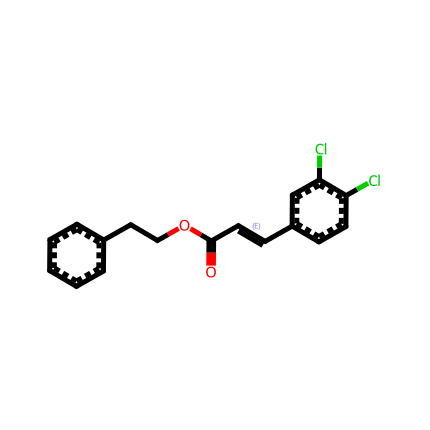 O=C(/C=C/c1ccc(Cl)c(Cl)c1)OCCc1ccccc1